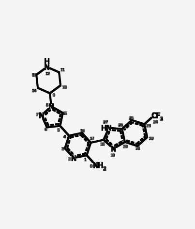 Nc1ncc(-c2cnn(C3CCNCC3)c2)cc1-c1nc2ccc(C(F)(F)F)cc2[nH]1